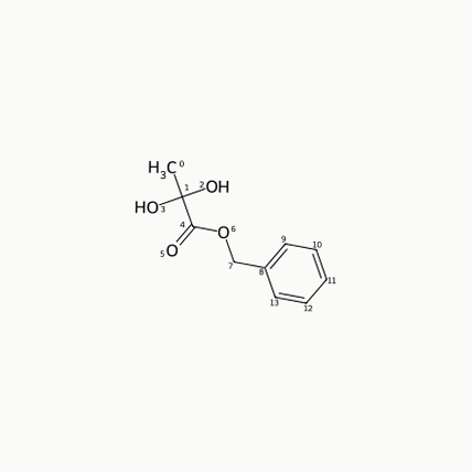 CC(O)(O)C(=O)OCc1ccccc1